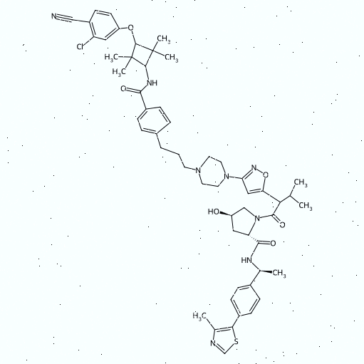 Cc1ncsc1-c1ccc([C@H](C)NC(=O)[C@@H]2C[C@@H](O)CN2C(=O)C(c2cc(N3CCN(CCCc4ccc(C(=O)NC5C(C)(C)C(Oc6ccc(C#N)c(Cl)c6)C5(C)C)cc4)CC3)no2)C(C)C)cc1